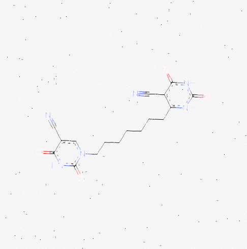 N#Cc1cn(CCCCCCCc2[nH]c(=O)[nH]c(=O)c2C#N)c(=O)[nH]c1=O